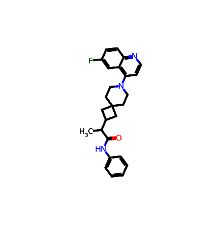 CC(C(=O)Nc1ccccc1)C1CC2(CCN(c3ccnc4ccc(F)cc34)CC2)C1